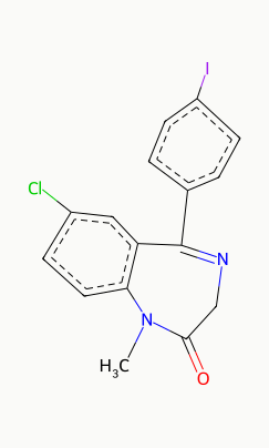 CN1C(=O)CN=C(c2ccc(I)cc2)c2cc(Cl)ccc21